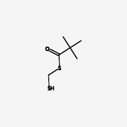 CC(C)(C)C(=O)SCS